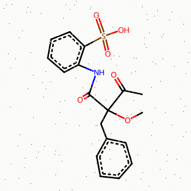 COC(Cc1ccccc1)(C(C)=O)C(=O)Nc1ccccc1S(=O)(=O)O